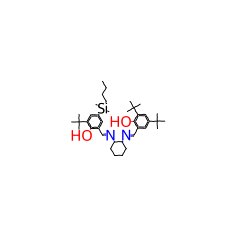 CCCC[Si](C)(C)c1cc(/C=N/[C@H]2CCCC[C@@H]2/N=C/c2cc(C(C)(C)C)cc(C(C)(C)C)c2O)c(O)c(C(C)(C)C)c1